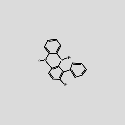 CC(C)c1ccc2c(c1-c1ccccc1)N(C(C)C)c1ccccc1[S+]2[O-]